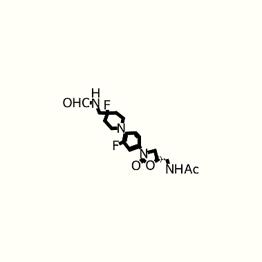 CC(=O)NC[C@H]1CN(c2ccc(N3CCC(F)(CNC=O)CC3)c(F)c2)C(=O)O1